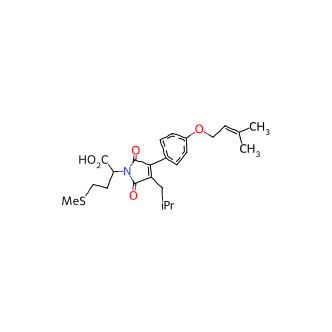 CSCCC(C(=O)O)N1C(=O)C(CC(C)C)=C(c2ccc(OCC=C(C)C)cc2)C1=O